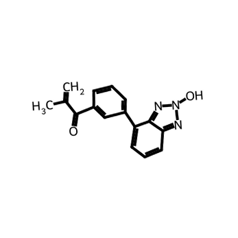 C=C(C)C(=O)c1cccc(-c2cccc3nn(O)nc23)c1